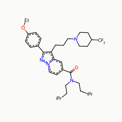 CCOc1ccc(-c2nn3ccc(C(=O)N(CCC(C)C)CCC(C)C)cc3c2CCCN2CCC(C(F)(F)F)CC2)cc1